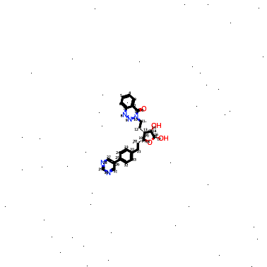 O=c1c2ccccc2nnn1CC[C@@H]1[C@H](O)[C@H](O)O[C@@H]1CCc1ccc(-c2cncnc2)cc1